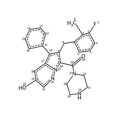 Cc1c(F)cccc1Cc1c(-c2ccccc2)c2cc(O)cnn2c1C(=O)N1CCNCC1